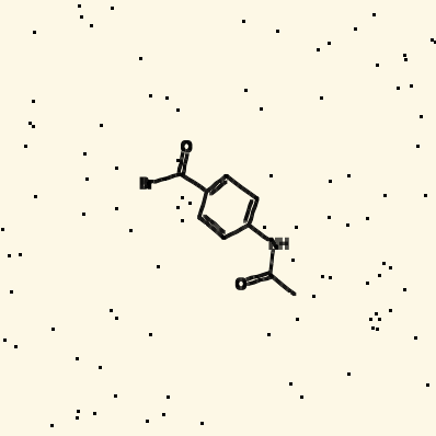 CC(=O)Nc1ccc(C(=O)Br)cc1